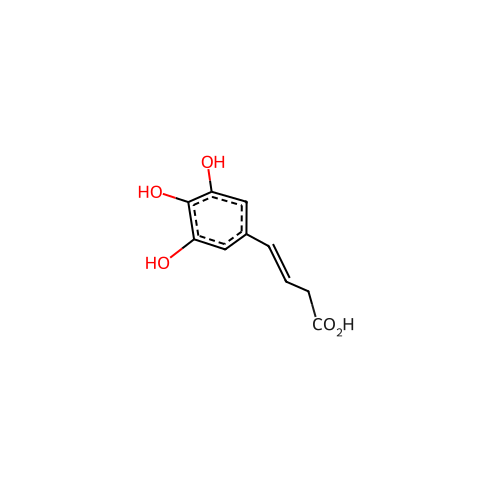 O=C(O)CC=Cc1cc(O)c(O)c(O)c1